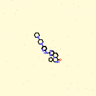 O=C1NCC2(CCCC2)N2c3nc(Nc4ccc(N5CCC(N6CCCCC6)CC5)cn4)ncc3C=CC12